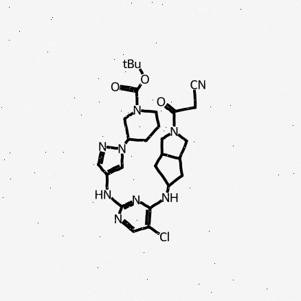 CC(C)(C)OC(=O)N1CCCC(n2cc(Nc3ncc(Cl)c(NC4CC5CN(C(=O)CC#N)CC5C4)n3)cn2)C1